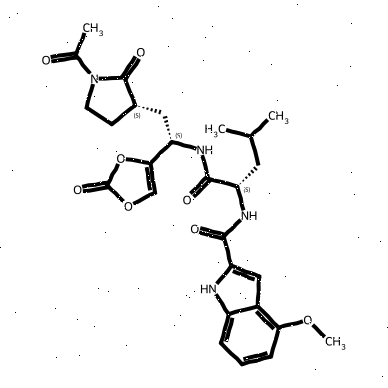 COc1cccc2[nH]c(C(=O)N[C@@H](CC(C)C)C(=O)N[C@@H](C[C@@H]3CCN(C(C)=O)C3=O)c3coc(=O)o3)cc12